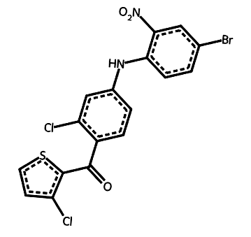 O=C(c1ccc(Nc2ccc(Br)cc2[N+](=O)[O-])cc1Cl)c1sccc1Cl